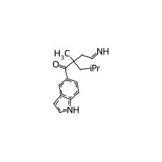 CC(C)CC(C)(CC=N)C(=O)c1ccc2[nH]ccc2c1